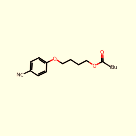 CCC(C)C(=O)OCCCCOc1ccc(C#N)cc1